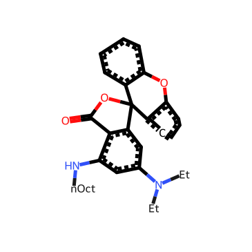 CCCCCCCCNc1cc(N(CC)CC)cc2c1C(=O)OC21c2ccccc2Oc2ccccc21